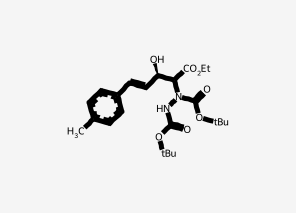 CCOC(=O)C([C@H](O)C=Cc1ccc(C)cc1)N(NC(=O)OC(C)(C)C)C(=O)OC(C)(C)C